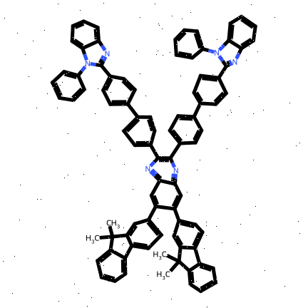 CC1(C)c2ccccc2-c2ccc(-c3cc4nc(-c5ccc(-c6ccc(-c7nc8ccccc8n7-c7ccccc7)cc6)cc5)c(-c5ccc(-c6ccc(-c7nc8ccccc8n7-c7ccccc7)cc6)cc5)nc4cc3-c3ccc4c(c3)C(C)(C)c3ccccc3-4)cc21